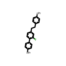 CCCc1ccc(CCc2ccc(-c3ccc(CCC)cc3)c(F)c2)cc1